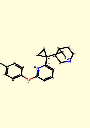 Fc1ccc(Oc2cccc(C3(C4CN5CCC4CC5)CC3)n2)cc1